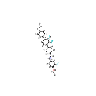 CCCc1ccc(-c2ccc(C3CCC(/C=C/c4ccc(OCC)c(F)c4)CC3)c(F)c2F)cc1